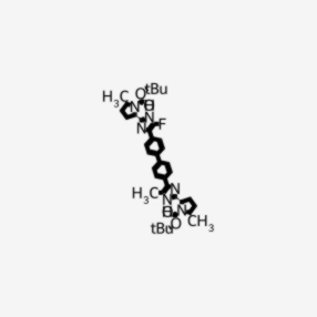 Cc1[nH]c([C@@H]2CC[C@H](C)N2C(=O)OC(C)(C)C)nc1-c1ccc(-c2ccc(-c3nc([C@@H]4CC[C@H](C)N4C(=O)OC(C)(C)C)[nH]c3F)cc2)cc1